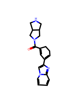 O=C(C1=CC(c2cn3ccccc3n2)=CCC1)N1CC2CNCC2C1